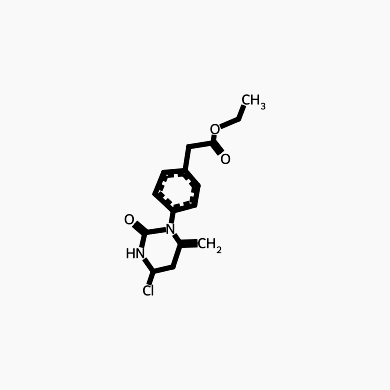 C=C1CC(Cl)NC(=O)N1c1ccc(CC(=O)OCC)cc1